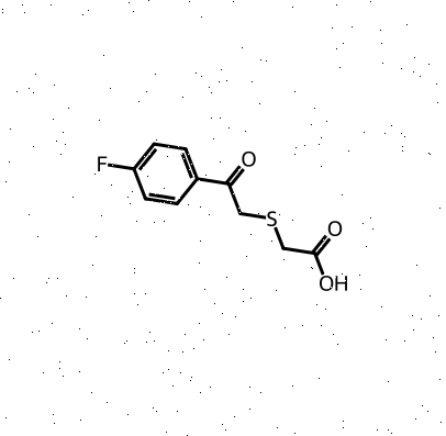 O=C(O)CSCC(=O)c1ccc(F)cc1